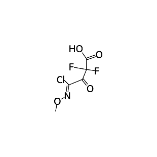 CON=C(Cl)C(=O)C(F)(F)C(=O)O